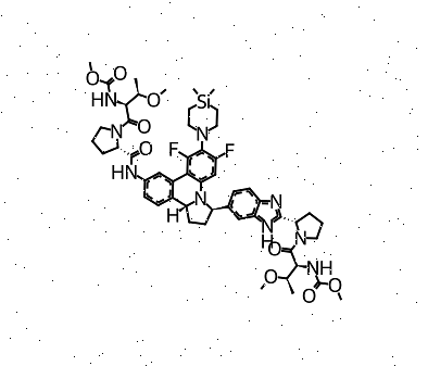 COC(=O)N[C@H](C(=O)N1CCC[C@H]1C(=O)Nc1ccc2c(c1)-c1c(cc(F)c(N3CC[Si](C)(C)CC3)c1F)N1[C@@H](c3ccc4nc([C@@H]5CCCN5C(=O)[C@@H](NC(=O)OC)[C@@H](C)OC)[nH]c4c3)CC[C@H]21)[C@@H](C)OC